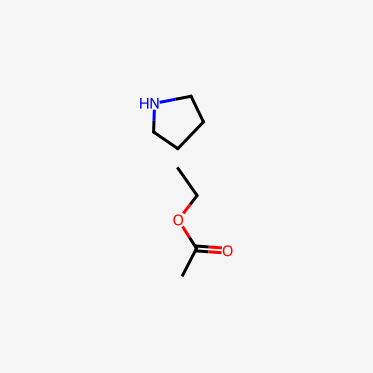 C1CCNC1.CCOC(C)=O